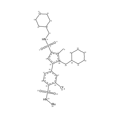 Cc1c(S(=O)(=O)NCC2CCOCC2)cc(-c2ccc(S(=O)(=O)NC(C)(C)C)c(C(F)(F)F)c2)n1CC1CCCCC1